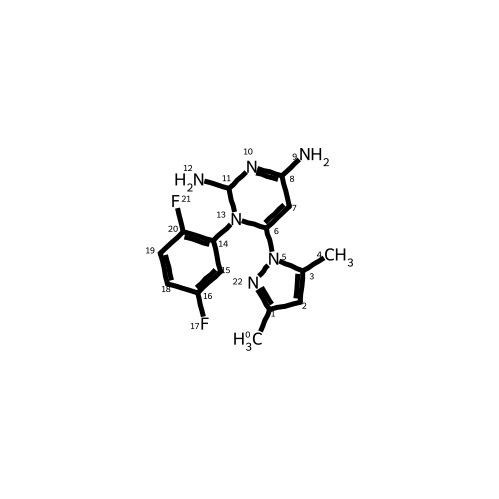 Cc1cc(C)n(C2=CC(N)=NC(N)N2c2cc(F)ccc2F)n1